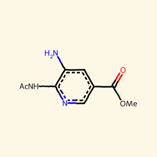 COC(=O)c1cnc(NC(C)=O)c(N)c1